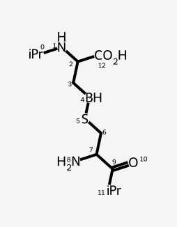 CC(C)NC(CBSCC(N)C(=O)C(C)C)C(=O)O